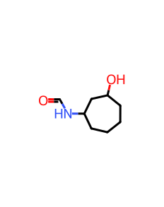 O=CNC1CCCCC(O)C1